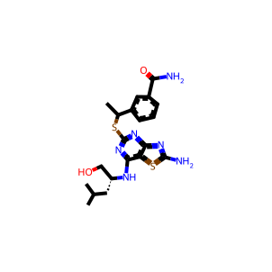 CC(C)C[C@H](CO)Nc1nc(SC(C)c2cccc(C(N)=O)c2)nc2nc(N)sc12